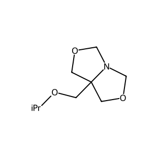 CC(C)OCC12COCN1COC2